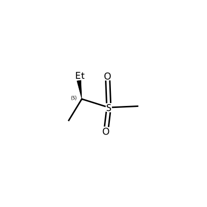 CC[C@H](C)S(C)(=O)=O